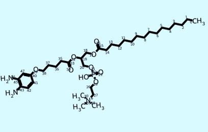 CCCCCCCCCCCCCCCC(=O)OCC(COP(=O)(O)OCC[N+](C)(C)C)OC(=O)CCCCOc1ccc(N)c(N)c1